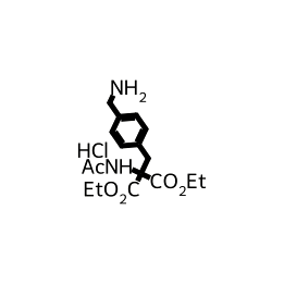 CCOC(=O)C(Cc1ccc(CN)cc1)(NC(C)=O)C(=O)OCC.Cl